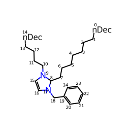 CCCCCCCCCCCCCCCCCC1N(CCCCCCCCCCCCCC)C=CN1Cc1ccccc1